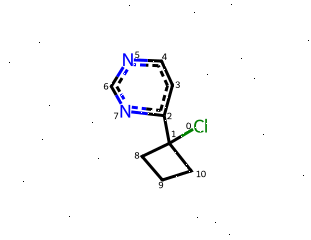 ClC1(c2ccncn2)CCC1